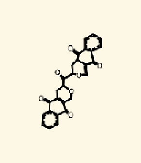 O=C1C2=C(CC(C(=O)C3CC4C(=O)c5ccccc5C(=O)C4=CO3)OC2)C(=O)c2ccccc21